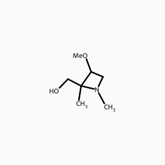 COC1CN(C)C1(C)CO